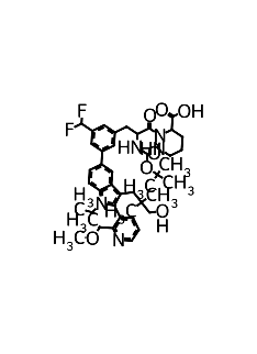 CCn1c(-c2cccnc2[C@H](C)OC)c(CC(C)(C)CO)c2cc(-c3cc(CC(NC(=O)OC(C)(C)C)C(=O)N4NCCCC4C(=O)O)cc(C(F)F)c3)ccc21